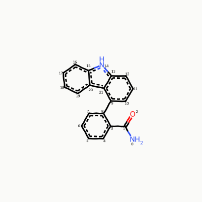 NC(=O)c1ccccc1-c1cccc2[nH]c3ccccc3c12